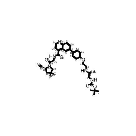 CC(C)(C)OC(=O)NCC(=O)NCCOc1ccc(-c2ccc3nccc(C(=O)NCC(=O)N4CC(F)(F)C[C@H]4C#N)c3c2)cc1